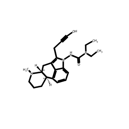 CCN(CC)C(=O)Nn1c(CC#CO)c2c3c(cccc31)[C@H]1CCCN(C)[C@@H]1C2